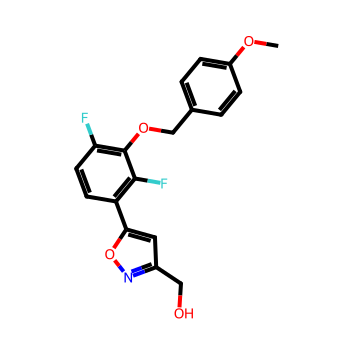 COc1ccc(COc2c(F)ccc(-c3cc(CO)no3)c2F)cc1